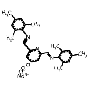 Cc1cc(C)c(N=Cc2cccc(C=Nc3c(C)cc(C)cc3C)n2)c(C)c1.[Cl-].[Cl-].[Cl-].[Nd+3]